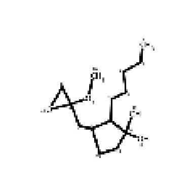 CCCCCC1C(CC2(OC)CO2)CCC1(O)O